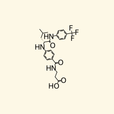 CC(C)C[C@@H](Nc1ccc(C(=O)NCCC(=O)O)cc1)C(=O)Nc1ccc(C(F)(F)F)cc1